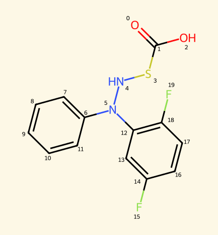 O=C(O)SNN(c1ccccc1)c1cc(F)ccc1F